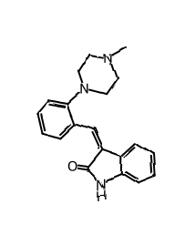 CN1CCN(c2ccccc2C=C2C(=O)Nc3ccccc32)CC1